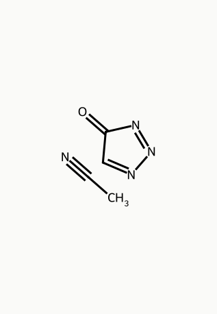 CC#N.O=C1C=NN=N1